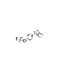 FC(F)(F)Oc1ccc(C2CCC3=CCCN32)cc1